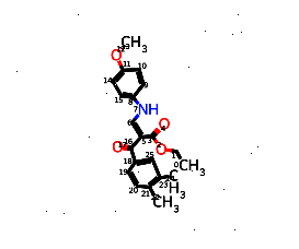 CCOC(=O)C(=CNc1ccc(OC)cc1)C(=O)c1ccc(C)c(C)c1